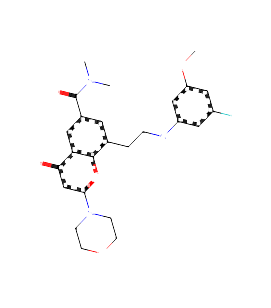 COc1cc(F)cc(NCCc2cc(C(=O)N(C)C)cc3c(=O)cc(N4CCOCC4)oc23)c1